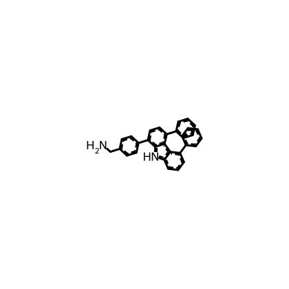 NCc1ccc(-c2ccc(-c3ccccc3)c3c2[nH]c2cccc(-c4ccccc4)c23)cc1